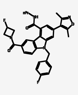 CCCNC(=O)c1cc(-c2c(C)noc2C)cc2c1c1cc(C(=O)N3CC(F)C3)ccc1n2Cc1ccc(F)cc1